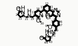 COc1cc(-c2ncnc(-c3cccc(-c4ccc(CNC[C@H]5CCC(=O)N5)c(OC)n4)c3Cl)c2Cl)ccc1CNC[C@@H]1CCC(=O)N1